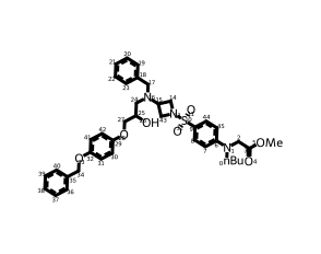 CCCCN(CC(=O)OC)c1ccc(S(=O)(=O)N2CC(N(Cc3ccccc3)CC(O)COc3ccc(OCc4ccccc4)cc3)C2)cc1